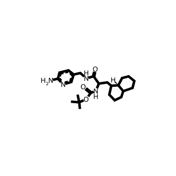 CC(C)(C)OC(=O)NC(CC1CCCC2CCCC[C@@H]21)C(=O)NCc1ccc(N)nc1